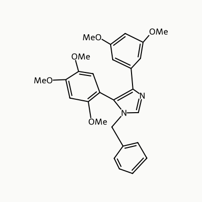 COc1cc(OC)cc(-c2ncn(Cc3ccccc3)c2-c2cc(OC)c(OC)cc2OC)c1